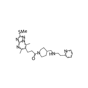 CSc1nc2nc(C)c(CCC(=O)N3CCC(CNCCc4ccccn4)CC3)c(C)n2n1